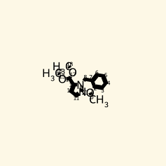 COc1ccccc1Cn1nccc1C(OC)OC